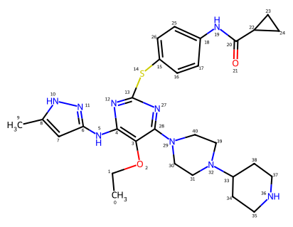 CCOc1c(Nc2cc(C)[nH]n2)nc(Sc2ccc(NC(=O)C3CC3)cc2)nc1N1CCN(C2CCNCC2)CC1